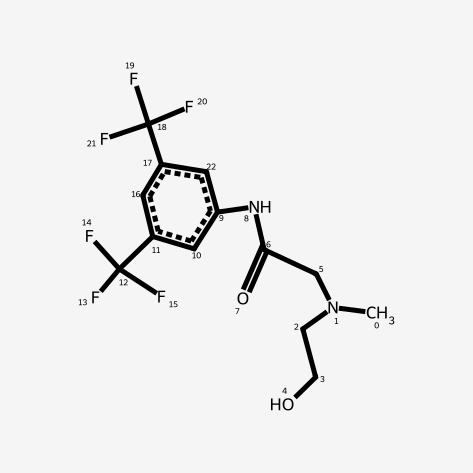 CN(CCO)CC(=O)Nc1cc(C(F)(F)F)cc(C(F)(F)F)c1